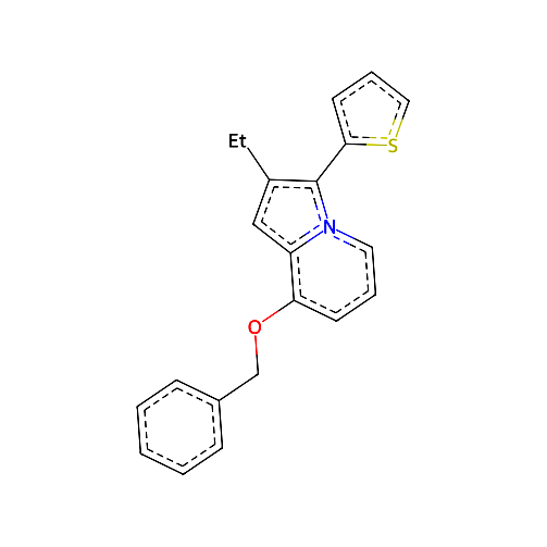 CCc1cc2c(OCc3ccccc3)cccn2c1-c1cccs1